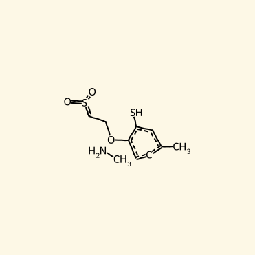 CN.Cc1ccc(OCC=S(=O)=O)c(S)c1